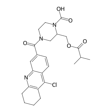 CC(C)C(=O)OCC1CN(C(=O)c2ccc3c(Cl)c4c(nc3c2)CCCC4)CCN1C(=O)O